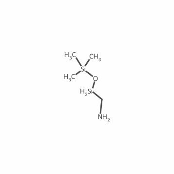 C[Si](C)(C)O[SiH2]CN